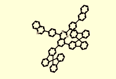 c1ccc2c(c1)-c1ccccc1C21c2ccccc2-c2ccc(-c3cc(-c4ccc5c(c4)C4(c6ccccc6-c6ccccc64)c4ccccc4-5)c4nc(-c5ccc(-c6ccc7ccccc7c6)cc5)nc(-c5ccc(-c6cnc7ccccc7c6)cc5)c4c3)cc21